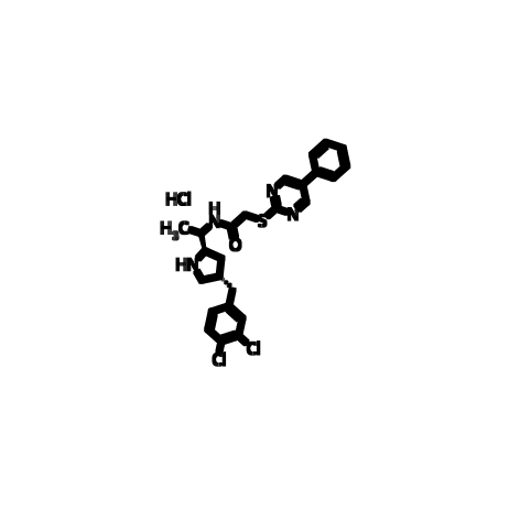 CC(NC(=O)CSc1ncc(-c2ccccc2)cn1)[C@H]1C[C@H](Cc2ccc(Cl)c(Cl)c2)CN1.Cl